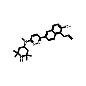 C=CCc1c(O)ccc2cc(-c3ccc(N(C)C4CC(C)(C)NC(C)(C)C4)nn3)ccc12